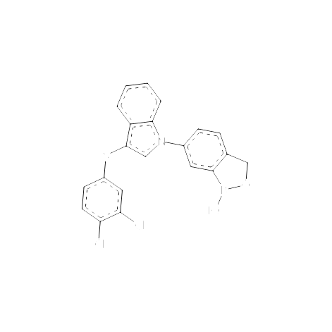 OB1OCc2ccc(-n3cc(Sc4ccc(Cl)c(Cl)c4)c4ccccc43)cc21